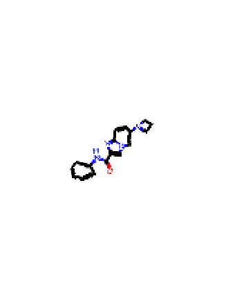 O=C(Nc1ccccc1)c1cn2cc(N3CCC3)ccc2n1